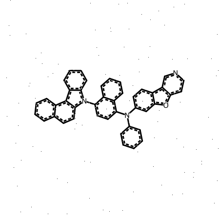 c1ccc(N(c2ccc3c(c2)oc2ccncc23)c2ccc(-n3c4ccccc4c4c5ccccc5ccc43)c3ccccc23)cc1